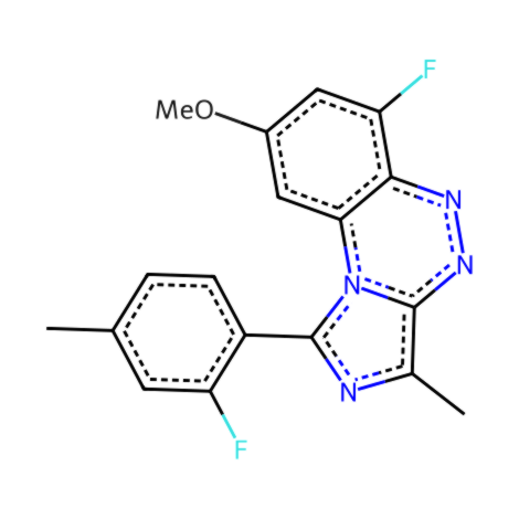 COc1cc(F)c2nnc3c(C)nc(-c4ccc(C)cc4F)n3c2c1